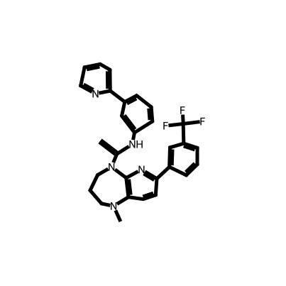 C=C(Nc1cccc(-c2ccccn2)c1)N1CCCN(C)c2ccc(-c3cccc(C(F)(F)F)c3)nc21